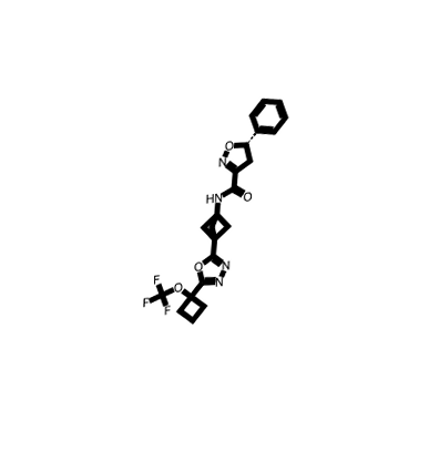 O=C(NC12CC(c3nnc(C4(OC(F)(F)F)CCC4)o3)(C1)C2)C1=NO[C@H](c2ccccc2)C1